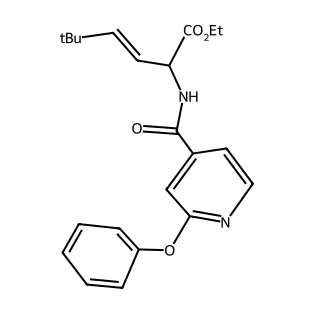 CCOC(=O)C(C=CC(C)(C)C)NC(=O)c1ccnc(Oc2ccccc2)c1